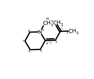 C=C(C)/C=C1/CCCCN1C